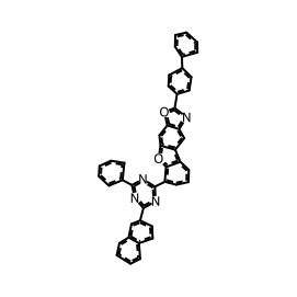 c1ccc(-c2ccc(-c3nc4cc5c(cc4o3)oc3c(-c4nc(-c6ccccc6)nc(-c6ccc7ccccc7c6)n4)cccc35)cc2)cc1